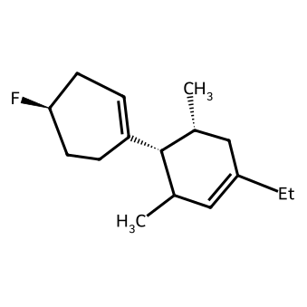 CCC1=CC(C)[C@H](C2=CC[C@H](F)CC2)[C@H](C)C1